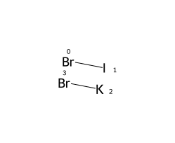 BrI.[K][Br]